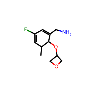 CC1C=C(F)C=C(CN)C1OC1COC1